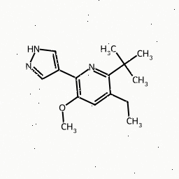 CCc1cc(OC)c(-c2cn[nH]c2)nc1C(C)(C)C